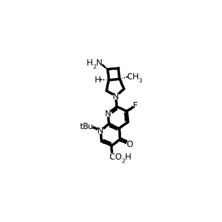 CC(C)(C)n1cc(C(=O)O)c(=O)c2cc(F)c(N3C[C@H]4[C@@H](N)C[C@@]4(C)C3)nc21